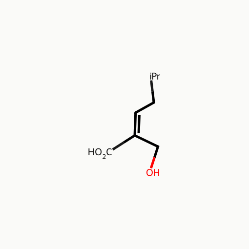 CC(C)CC=C(CO)C(=O)O